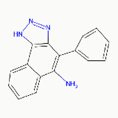 Nc1c(-c2ccccc2)c2nn[nH]c2c2ccccc12